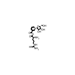 N=C(N)NCCC[C@H](N)C(=O)OC(=O)c1ccc[n+]([C@@H]2O[C@H](CO)[C@@H](O)[C@H]2O)c1